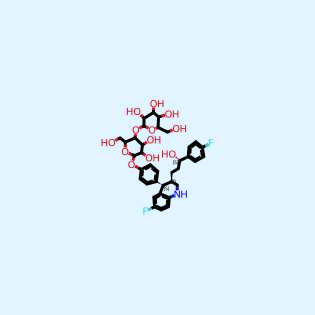 OCC1OC(OC2C(CO)OC(Oc3ccc([C@H]4c5cc(F)ccc5NC[C@@H]4CC[C@H](O)c4ccc(F)cc4)cc3)C(O)C2O)C(O)C(O)C1O